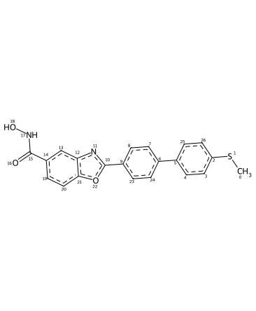 CSc1ccc(-c2ccc(-c3nc4cc(C(=O)NO)ccc4o3)cc2)cc1